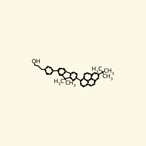 CC(C)(C)c1cc2ccc3ccc(-c4ccc5c(c4)C(C)(C)c4cc(-c6ccc(CCCO)cc6)ccc4-5)c4ccc(c1)c2c34